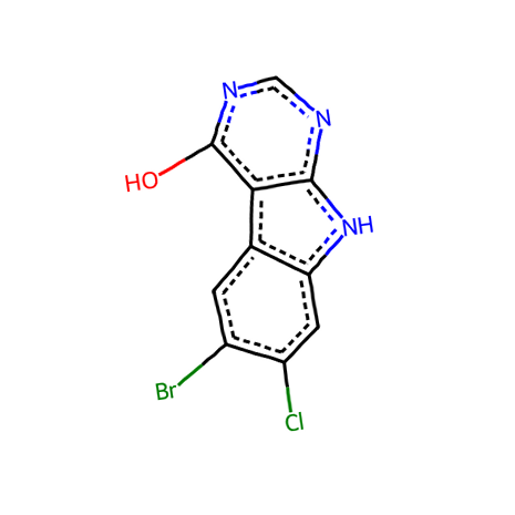 Oc1ncnc2[nH]c3cc(Cl)c(Br)cc3c12